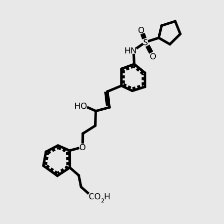 O=C(O)CCc1ccccc1OCCC(O)/C=C/c1cccc(NS(=O)(=O)C2CCCC2)c1